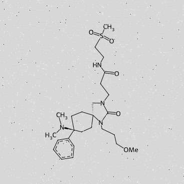 COCCCN1C(=O)N(CCC(=O)NCCS(C)(=O)=O)C[C@]12CC[C@](c1ccccc1)(N(C)C)CC2